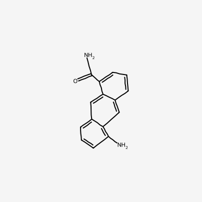 NC(=O)c1cccc2cc3c(N)cccc3cc12